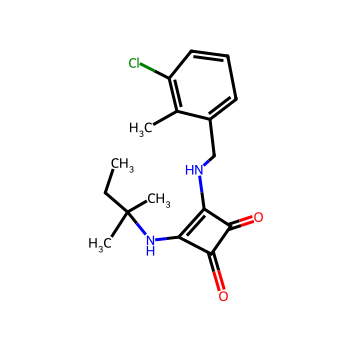 CCC(C)(C)Nc1c(NCc2cccc(Cl)c2C)c(=O)c1=O